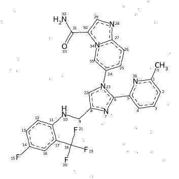 Cc1cccc(-c2nc(CNc3ccc(F)cc3C(F)(F)F)cn2-c2ccc3ncc(C(N)=O)n3c2)n1